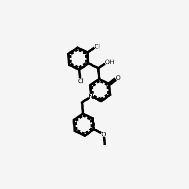 COc1cccc(Cn2ccc(=O)c(C(O)c3c(Cl)cccc3Cl)c2)c1